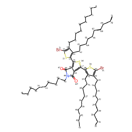 CCCCCCCCCCc1c(Br)sc(-c2sc(-c3sc(Br)c(CCCCCCCCCC)c3CCCCCCCCCC)c3c2C(=O)N(CCCCCCCCCC)C3=O)c1CCCCCCCCCC